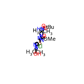 COC(=O)c1nc(Sc2ccnc(N3CC(C(C)(C)O)C3)c2Cl)cnc1N1CCC(C)(C(C)NC(=O)OC(C)(C)C)CC1